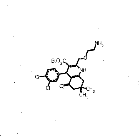 CCOC(=O)C1=C(COCCN)NC2=C(C(=O)CC(C)(C)C2)C1c1ccc(Cl)c(Cl)c1